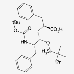 CC(C)C(C)(C)[SiH2]O[C@@H](C[C@@H](Cc1ccccc1)C(=O)O)[C@H](Cc1ccccc1)NC(=O)OC(C)(C)C